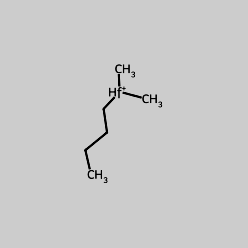 CCC[CH2][Hf+]([CH3])[CH3]